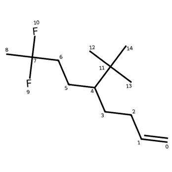 C=CCCC(CCC(C)(F)F)C(C)(C)C